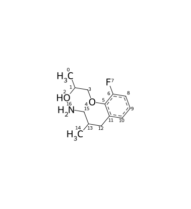 CC(O)COc1c(F)cccc1CC(C)CN